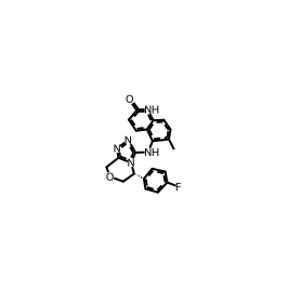 Cc1ccc2[nH]c(=O)ccc2c1Nc1nnc2n1[C@H](c1ccc(F)cc1)COC2